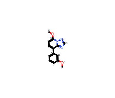 COc1cccc(-c2ccc(OC)n3n[c]nc23)c1